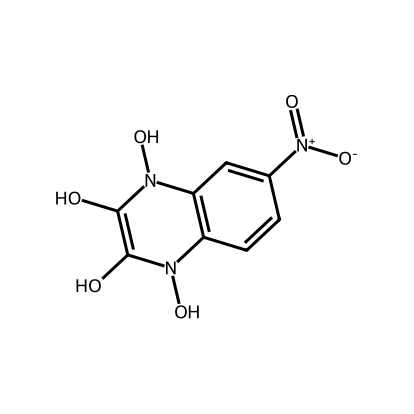 O=[N+]([O-])c1ccc2c(c1)N(O)C(O)=C(O)N2O